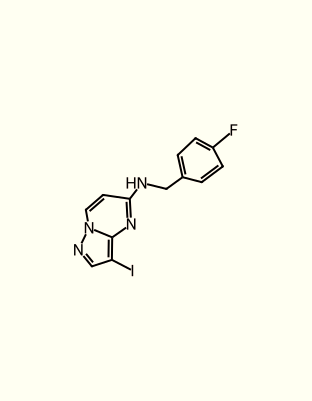 Fc1ccc(CNc2ccn3ncc(I)c3n2)cc1